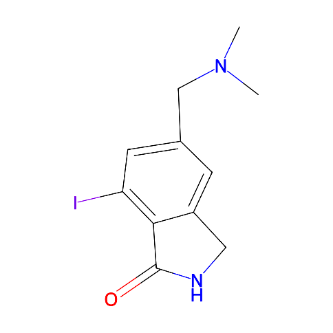 CN(C)Cc1cc(I)c2c(c1)CNC2=O